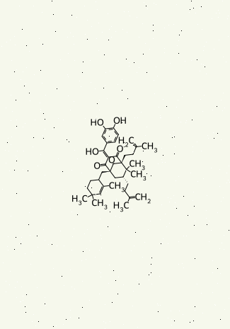 C=C(C)CC[C@@H]1C[C@]2(CC3CCC(C)(C)C=C3C)C(=O)C(=C(O)c3ccc(O)c(O)c3)C(=O)[C@@](CCC(=C)C)(C2=O)C1(C)C